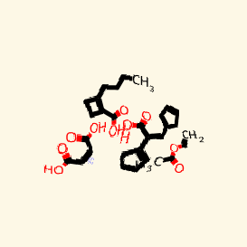 C=COC(C)=O.CCCCC1=C(C(=O)O)CC1.O=C(O)/C=C\C(=O)O.O=C(O)C(=CC1=CC=CC1)C1=CC=CC1